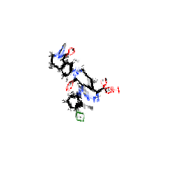 CN1CCc2ccc(N3CCC4C(C(=O)O)=NN(c5cccc(Cl)c5)C4C3=O)cc2C1=O